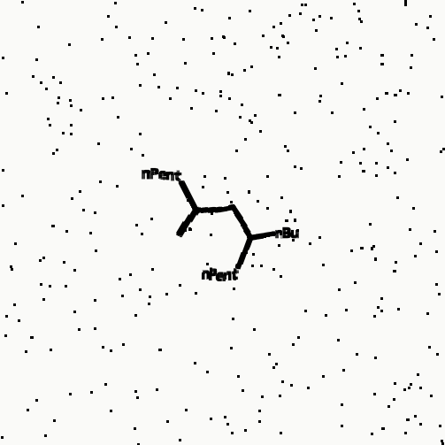 CCCCCC(C)CC(CCCC)CCCCC